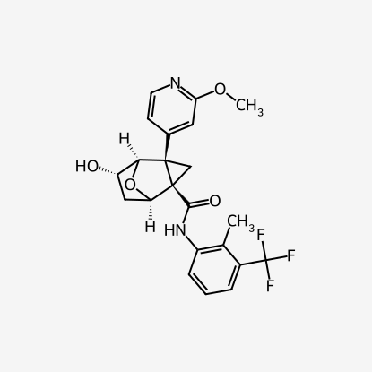 COc1cc([C@@]23C[C@]2(C(=O)Nc2cccc(C(F)(F)F)c2C)[C@H]2C[C@H](O)[C@@H]3O2)ccn1